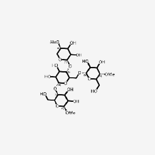 CO[C@H]1OC(CO)[C@@H](O[C@H]2OC(CO[C@H]3OC(CO)[C@@H](OC)C(O)C3O)[C@@H](O[C@H]3OC[C@@H](OC)C(O)C3O)C(O)C2O)C(O)C1O